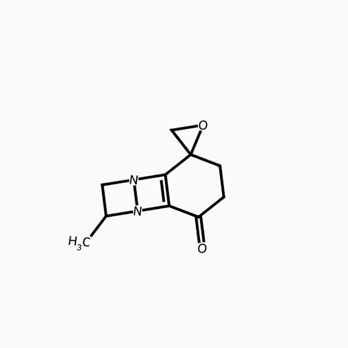 CC1Cn2c3c(n21)C(=O)CCC31CO1